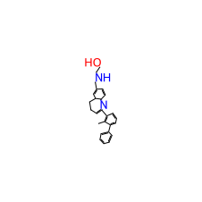 Cc1c(C2=CCCC3C=C(CNCCO)C=CC3=N2)cccc1-c1ccccc1